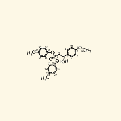 COc1ccc([C@H](O)CP(=O)(Oc2ccc(C)cc2)Oc2ccc(C)cc2)cc1